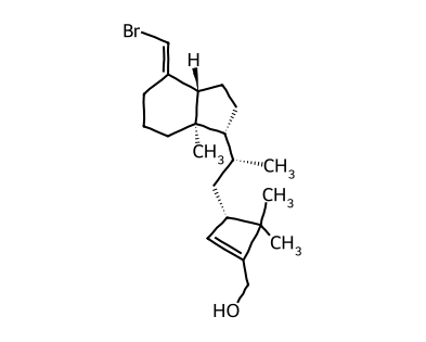 C[C@H](C[C@H]1C=C(CO)C1(C)C)[C@H]1CC[C@H]2/C(=C/Br)CCC[C@]12C